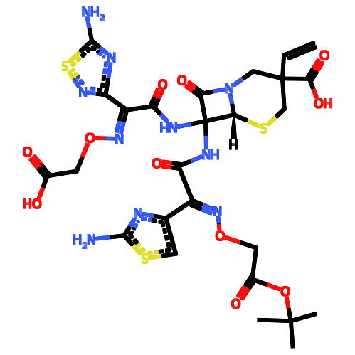 C=CC1(C(=O)O)CS[C@H]2N(C1)C(=O)C2(NC(=O)C(=NOCC(=O)OC(C)(C)C)c1csc(N)n1)NC(=O)C(=NOCC(=O)O)c1nsc(N)n1